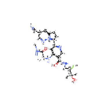 CNC(=O)[C@@H](C)Nc1cc(-c2ccc3cc(C#N)cnn23)ncc1C(=O)NC[C@@H](F)C(C)(C)O